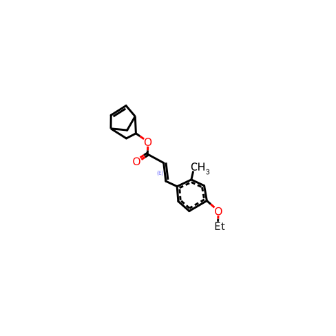 CCOc1ccc(/C=C/C(=O)OC2CC3C=CC2C3)c(C)c1